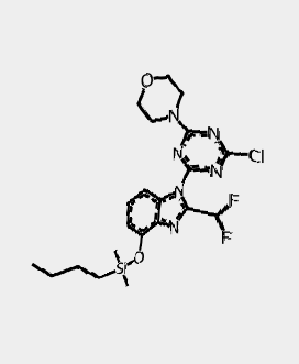 CCCC[Si](C)(C)Oc1cccc2c1nc(C(F)F)n2-c1nc(Cl)nc(N2CCOCC2)n1